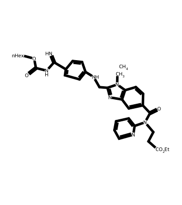 C.CCCCCCOC(=O)NC(=N)c1ccc(NCc2nc3cc(C(=O)N(CCC(=O)OCC)c4ccccn4)ccc3n2C)cc1